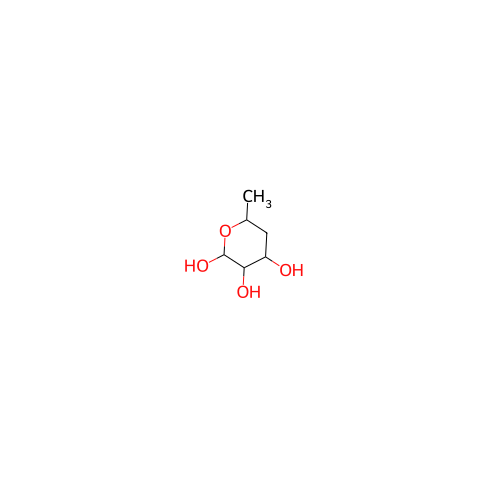 CC1CC(O)C(O)C(O)O1